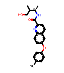 CC(CO)[C@@H](C)NC(=O)c1ccc2cc(Oc3ccc(C#N)cc3)ccc2n1